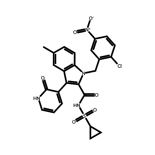 Cc1ccc2c(c1)c(-c1ccc[nH]c1=O)c(C(=O)NS(=O)(=O)C1CC1)n2Cc1cc([N+](=O)[O-])ccc1Cl